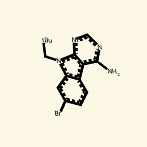 CC(C)(C)Cn1c2cc(Br)ccc2c2c(N)ncnc21